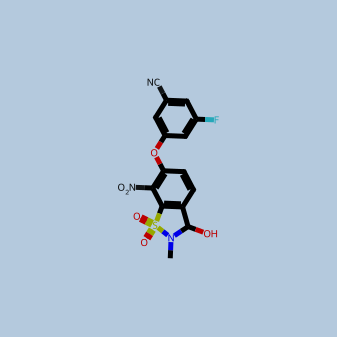 CN1C(O)c2ccc(Oc3cc(F)cc(C#N)c3)c([N+](=O)[O-])c2S1(=O)=O